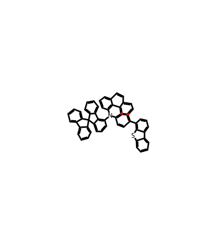 c1ccc2c(c1)-c1ccccc1C21c2ccccc2-c2c(N(c3ccc(-c4cccc5c4sc4ccccc45)cc3)c3cccc4ccc5ccccc5c34)cccc21